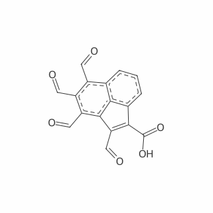 O=CC1=C(C(=O)O)c2cccc3c(C=O)c(C=O)c(C=O)c1c23